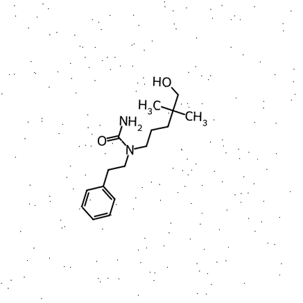 CC(C)(CO)CCCN(CCc1ccccc1)C(N)=O